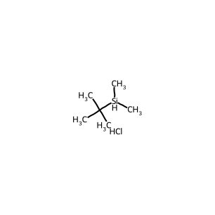 C[SiH](C)C(C)(C)C.Cl